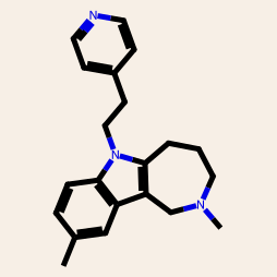 Cc1ccc2c(c1)c1c(n2CCc2ccncc2)CCCN(C)C1